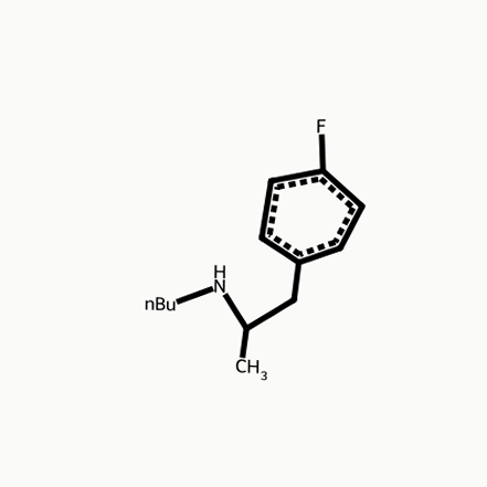 CCCCNC(C)Cc1ccc(F)cc1